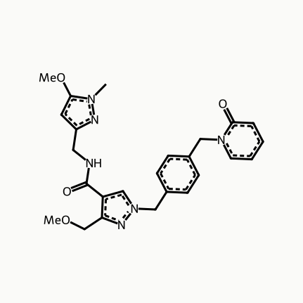 COCc1nn(Cc2ccc(Cn3ccccc3=O)cc2)cc1C(=O)NCc1cc(OC)n(C)n1